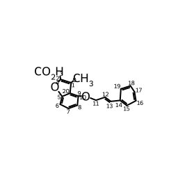 Cc1c(C(=O)O)oc2cccc(OCC=Cc3ccccc3)c12